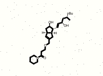 CCCC[C@H](C)C[C@H](O)/C=C/[C@@H]1[C@H]2CC(COCCC(=O)N3CCCCC3)=C[C@H]2C[C@H]1O